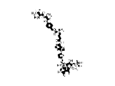 CO[C@H](COP(=O)(O)S)[C@@H](O)[C@@H](O[P@](=O)(S)OC[C@@H]1CC[C@H](n2cnc3c(NC(=O)CCCN(C)C(=O)OCc4ccc(NC(=O)[C@H](C)NC(=O)C(N)C(C)C)cc4)ncnc32)O1)n1cc(F)c2c(=O)[nH]cnc21